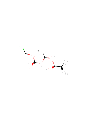 C=C(C)C(=O)OC(C)OC(=O)OCCl